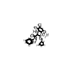 O=C(O)C1=C(NC(COCc2ccccc2)C(=O)Nc2ccccc2)C(=O)C(Cl)=CC1=O